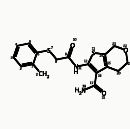 Cc1ccccc1SCC(=O)Nc1sc2c(c1C(N)=O)CCOC2